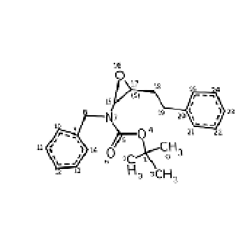 CC(C)(C)OC(=O)N(Cc1ccccc1)C1O[C@H]1CCc1ccccc1